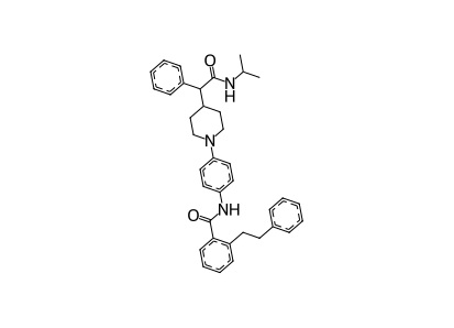 CC(C)NC(=O)C(c1ccccc1)C1CCN(c2ccc(NC(=O)c3ccccc3CCc3ccccc3)cc2)CC1